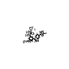 Cc1nnc(-c2ccn3c(-c4cc(NC(=O)NCC(F)(F)F)cc(NC(C)C)c4)cnc3c2)o1